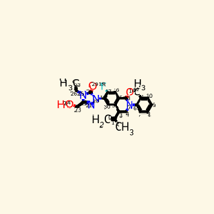 C=C(C)C1CN(c2ccccc2C)C(=O)c2cc(F)c(-n3nc(CO)n(CC)c3=O)cc21